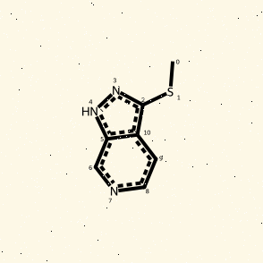 CSc1n[nH]c2cnccc12